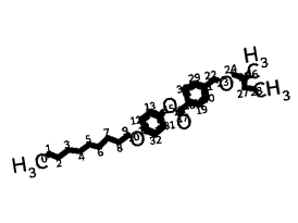 CCCCCCCCCCOc1ccc(OC(=O)c2ccc(COCC(C)CC)cc2)cc1